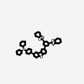 c1ccc(N(c2ccccc2)c2ccc(-c3ccc4oc5ccc(-c6cc(-c7nc8ccccc8o7)cc(-c7nc8ccccc8o7)c6)cc5c4c3)cc2)cc1